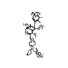 Cc1c(-c2[nH]c3cnc(N4CCN(C(=O)OC(C)(C)C)CC4)c(F)c3c2C(C)C)cn2ncnc2c1C